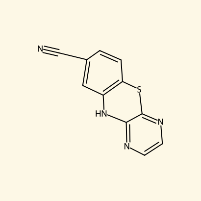 N#Cc1ccc2c(c1)Nc1nccnc1S2